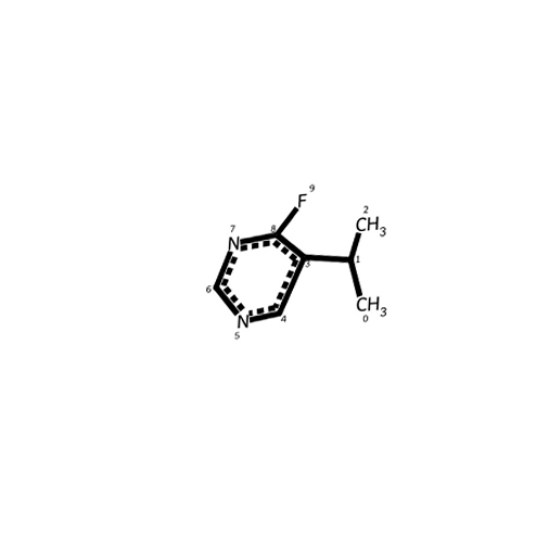 CC(C)c1cncnc1F